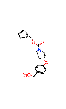 O=C(OCc1ccccc1)N1CCC(Oc2ccc(CO)cc2)CC1